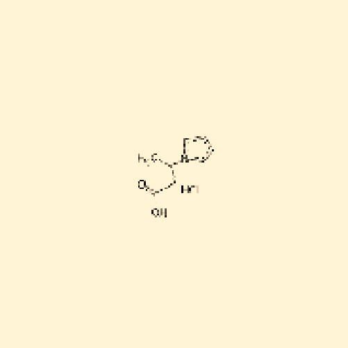 CC(CC(=O)O)n1cccc1.Cl